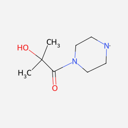 CC(C)(O)C(=O)N1CC[N]CC1